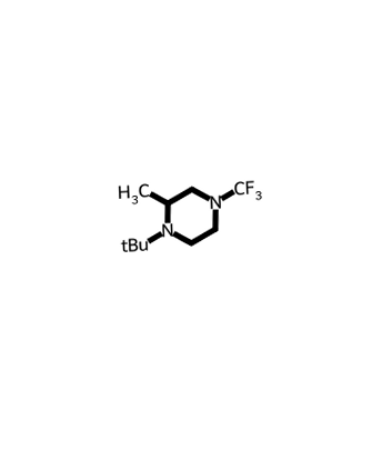 CC1CN(C(F)(F)F)CCN1C(C)(C)C